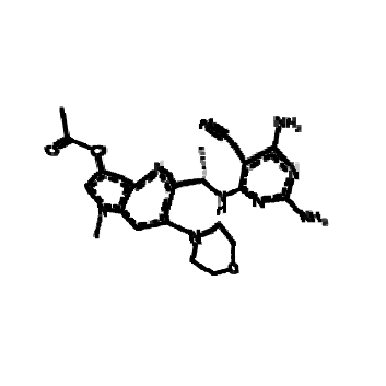 CC(=O)Oc1cn(C)c2cc(N3CCOCC3)c([C@H](C)Nc3nc(N)nc(N)c3C#N)nc12